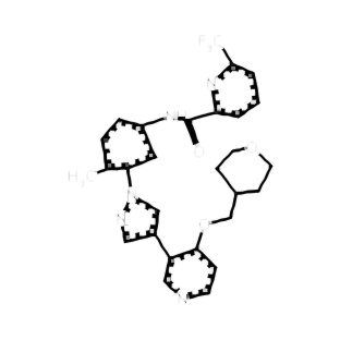 Cc1ccc(NC(=O)c2cccc(C(F)(F)F)n2)cc1-n1cc(-c2cnccc2OCC2CCOCC2)cn1